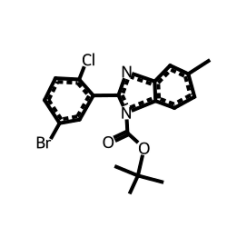 Cc1ccc2c(c1)nc(-c1cc(Br)ccc1Cl)n2C(=O)OC(C)(C)C